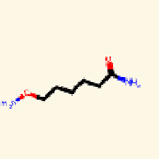 NOCCCCCC(N)=O